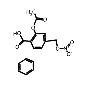 CC(=O)Oc1cc(CO[N+](=O)[O-])ccc1C(=O)O.c1ccccc1